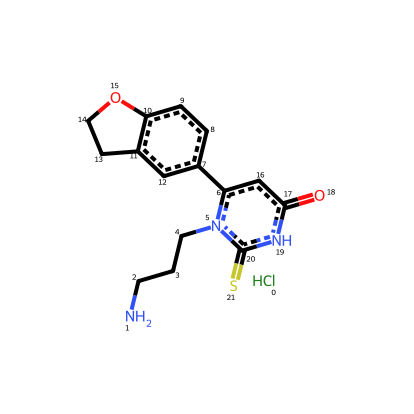 Cl.NCCCn1c(-c2ccc3c(c2)CCO3)cc(=O)[nH]c1=S